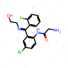 NCC(=O)Nc1ccc(Br)cc1C(=NCCO)c1ccccc1F